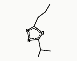 CCCc1nnc(C(C)C)o1